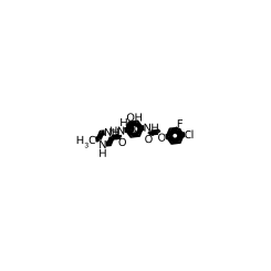 CC1CNC(C(=O)NC23CCC(NC(=O)COc4ccc(Cl)c(F)c4)(CC2)C[C@@H]3O)CN1